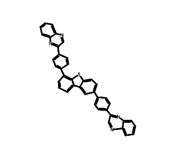 c1ccc2nc(-c3ccc(-c4ccc5sc6c(-c7ccc(-c8cnc9ccccc9n8)cc7)cccc6c5c4)cc3)cnc2c1